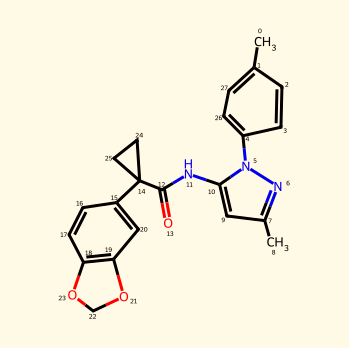 Cc1ccc(-n2nc(C)cc2NC(=O)C2(c3ccc4c(c3)OCO4)CC2)cc1